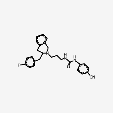 N#Cc1ccc(NC(=O)NCCCN2Cc3ccccc3CC2Cc2ccc(F)cc2)cc1